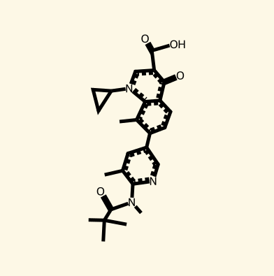 Cc1cc(-c2ccc3c(=O)c(C(=O)O)cn(C4CC4)c3c2C)cnc1N(C)C(=O)C(C)(C)C